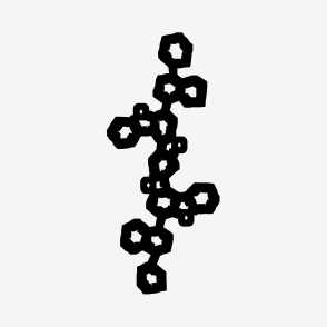 c1ccc(-c2ccc(-c3cc4oc5cc6c(cc5c4c4c3oc3ccccc34)oc3cc(-c4ccc(-c5ccccc5)c5ccccc45)c4oc5ccccc5c4c36)c3ccccc23)cc1